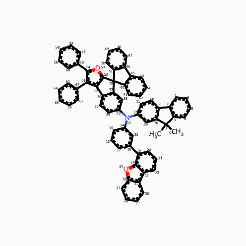 CC1(C)c2ccccc2-c2ccc(N(c3cccc(-c4cccc5c4oc4ccccc45)c3)c3ccc4c(c3)C3(c5ccccc5-c5ccccc53)c3oc(-c5ccccc5)c(-c5ccccc5)c3-4)cc21